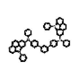 c1ccc(N(c2ccc(-c3cccc(-c4ccc(N(c5ccccc5)c5cc6ccc7cccc8c7c6c(c5)n8-c5ccccc5)cc4)c3)cc2)c2cc3ccc4cccc5c4c3c(c2)n5-c2ccccc2)cc1